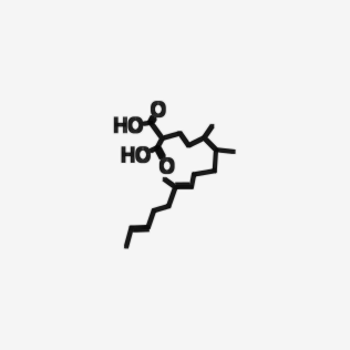 C/C=C/CC/C(C)=C/CCC(C)C(C)CCC(C(=O)O)C(=O)O